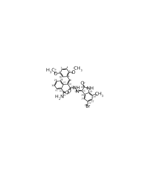 COc1ccc(OC)c(/C=C(/C(=O)N/N=C2\C(=O)Nc3c(C)cc(Br)cc32)c2ccccc2C(N)=O)c1